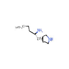 C1=CCNC1.N[C@@H](CCC(=O)O)C(=O)O